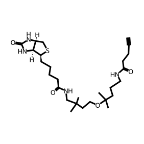 C#CCCC(=O)NCCCC(C)(C)OCCC(C)(C)CNC(=O)CCCC[C@@H]1SC[C@@H]2NC(=O)N[C@@H]21